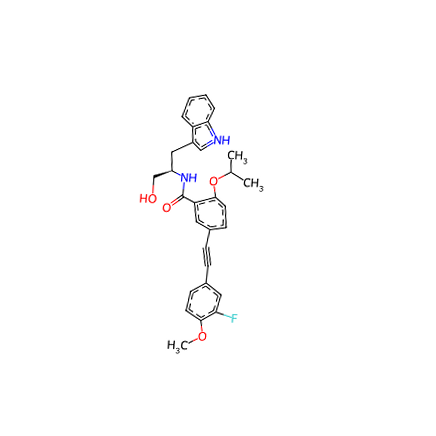 COc1ccc(C#Cc2ccc(OC(C)C)c(C(=O)N[C@@H](CO)Cc3c[nH]c4ccccc34)c2)cc1F